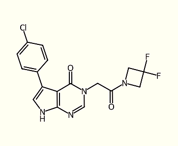 O=C(Cn1cnc2[nH]cc(-c3ccc(Cl)cc3)c2c1=O)N1CC(F)(F)C1